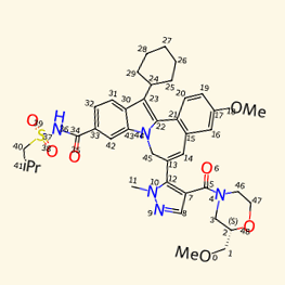 COC[C@@H]1CN(C(=O)c2cnn(C)c2C2=Cc3cc(OC)ccc3-c3c(C4CCCCC4)c4ccc(C(=O)NS(=O)(=O)CC(C)C)cc4n3C2)CCO1